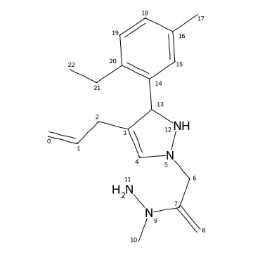 C=CCC1=CN(CC(=C)N(C)N)NC1c1cc(C)ccc1CC